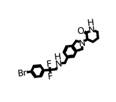 O=C1NCCCC1N1Cc2ccc(CNCC(F)(F)c3ccc(Br)cc3)cc2C1